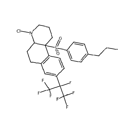 CCCc1ccc(S(=O)(=O)C23CCCN(Cl)C2CCc2cc(C(F)(C(F)(F)F)C(F)(F)F)ccc23)cc1